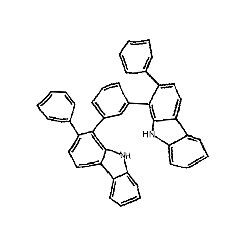 c1ccc(-c2ccc3c([nH]c4ccccc43)c2-c2cccc(-c3c(-c4ccccc4)ccc4c3[nH]c3ccccc34)c2)cc1